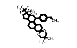 C=Cc1ccc(C2CC3(C)C(CCC3(O)C(F)(F)C(F)(F)F)C3CCC4CC5(CCC4=C23)OCC(C)(C)CO5)cc1